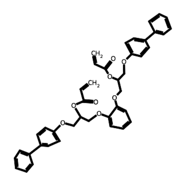 C=CC(=O)OC(COc1ccc(-c2ccccc2)cc1)COc1ccccc1OCC(COc1ccc(-c2ccccc2)cc1)OC(=O)C=C